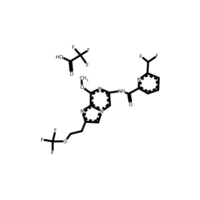 COc1nc(NC(=O)c2cccc(C(F)F)n2)cn2cc(CCOC(F)(F)F)nc12.O=C(O)C(F)(F)F